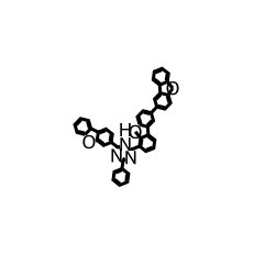 c1ccc(C2=NC(c3cccc4c3oc3ccc(-c5ccc6oc7ccccc7c6c5)cc34)NC(c3ccc4c(c3)oc3ccccc34)=N2)cc1